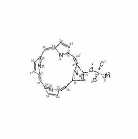 O=S(=O)(O)OC1=CC2=NC1=CC1=NC(=CC3=NC(=CC4=NC(=C2)C=C4)C=C3)C=C1